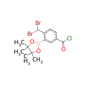 CC1(C)OB(c2cc(C(=O)Cl)ccc2C(Br)Br)OC1(C)C